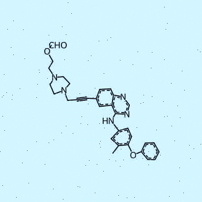 Cc1cc(Nc2ncnc3ccc(C#CCN4CCN(CCOC=O)CC4)cc23)ccc1Oc1ccccc1